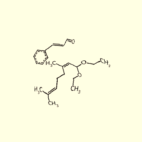 CCOC(C=C(C)CCC=C(C)C)OCC.O=CC=Cc1ccccc1